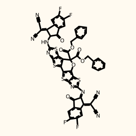 N#CC(C#N)=C1/C(=N/c2nc3sc4c(c3s2)OC(C(=O)OCc2ccccc2)(C(=O)OCc2ccccc2)c2c-4sc3nc(NC4C(=O)c5cc(F)c(F)cc5C4=C(C#N)C#N)sc23)C(=O)c2cc(F)c(F)cc21